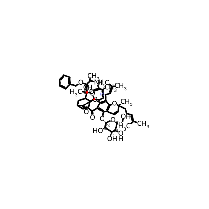 CC(C)=CCCC1(C)C=Cc2c(c(CC=C(C)C)c3c(c2O[C@@H]2O[C@H](CO)[C@@H](O)[C@@H](O)[C@H]2O)C(=O)C2=CC4CC5C(C)(C)OC(C/C=C(/C)C(=O)NC(C)C(=O)OCc6ccccc6)(C4=O)C25O3)O1